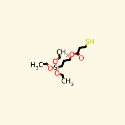 CCO[Si](CCCOC(=O)CCS)(OCC)OCC